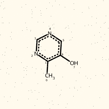 Cc1n[c]ncc1O